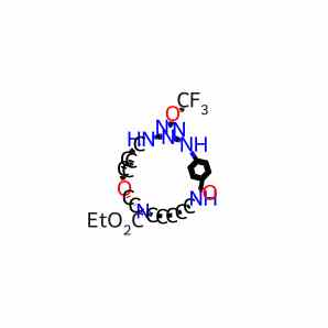 CCOC(=O)N1CCCCCNC(=O)c2ccc(cc2)Nc2nc(nc(OCC(F)(F)F)n2)NCc2ccc(cc2)OCC1